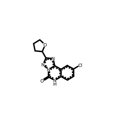 O=c1[nH]c2ccc(Cl)cc2c2nc(C3CCCO3)nn12